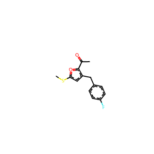 CSc1cc(Cc2ccc(F)cc2)c(C(C)=O)o1